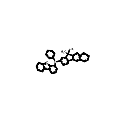 CC1(C)c2cc(N(c3ccccc3)c3cccc4c3oc3ccccc34)ccc2-c2cc3ccccc3cc21